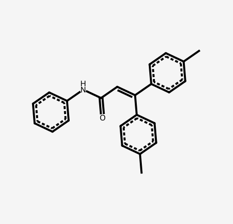 Cc1ccc(C(=CC(=O)Nc2ccccc2)c2ccc(C)cc2)cc1